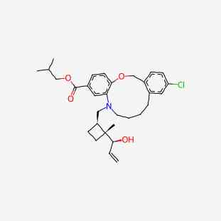 C=C[C@H](O)[C@]1(C)CC[C@H]1CN1CCCCc2cc(Cl)ccc2COc2ccc(C(=O)OCC(C)C)cc21